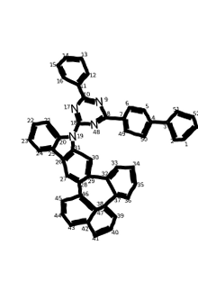 c1ccc(-c2ccc(-c3nc(-c4ccccc4)nc(-n4c5ccccc5c5cc6c(cc54)-c4ccccc4-c4cccc5cccc-6c45)n3)cc2)cc1